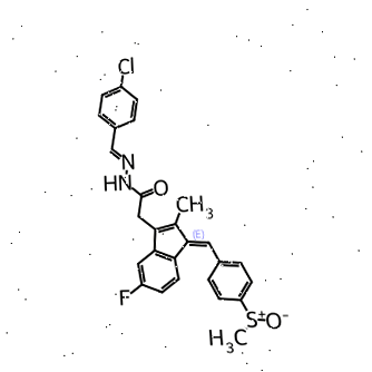 CC1=C(CC(=O)NN=Cc2ccc(Cl)cc2)c2cc(F)ccc2/C1=C\c1ccc([S+](C)[O-])cc1